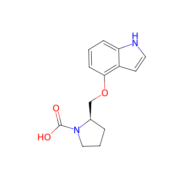 O=C(O)N1CCC[C@@H]1COc1cccc2[nH]ccc12